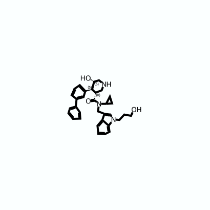 O=C([C@H]1CNC[C@@H](O)[C@@H]1c1cccc(-c2ccccc2)c1)N(Cc1cn(CCCO)c2ccccc12)C1CC1